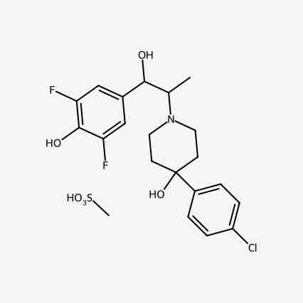 CC(C(O)c1cc(F)c(O)c(F)c1)N1CCC(O)(c2ccc(Cl)cc2)CC1.CS(=O)(=O)O